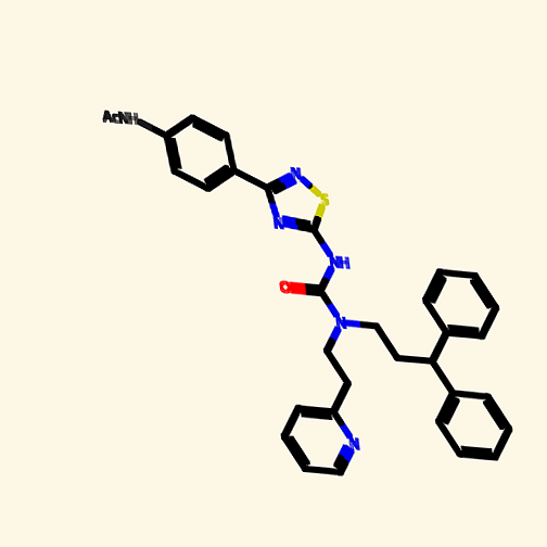 CC(=O)Nc1ccc(-c2nsc(NC(=O)N(CCc3ccccn3)CCC(c3ccccc3)c3ccccc3)n2)cc1